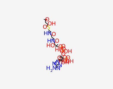 CC(=O)CC(O)C(=O)SCCNC(=O)CCNC(=O)C(O)C(C)(C)COP(=O)(O)OP(=O)(O)OC[C@H]1O[C@@H](n2cnc3c(N)ncnc32)[C@H](O)[C@@H]1OP(=O)(O)O